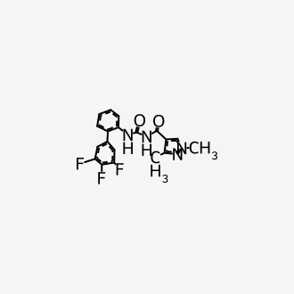 Cc1nn(C)cc1C(=O)NC(=O)Nc1ccccc1-c1cc(F)c(F)c(F)c1